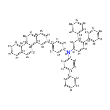 c1ccc(-c2ccc(N(c3ccc(-c4ccc5ccc6c7ccccc7ccc6c5c4)cc3)c3ccc(-c4ccccc4)c(-c4ccccc4)c3)cc2)cc1